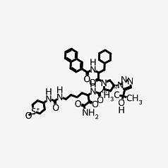 CC(C)(O)c1cnnn1[C@H]1C[C@@H](C(=O)NC(CCCCNC(=O)NC2CC[S+]([O-])CC2)C(=O)C(N)=O)N(C(=O)C(CC2CCCCC2)NC(=O)c2ccc3ccccc3c2)C1